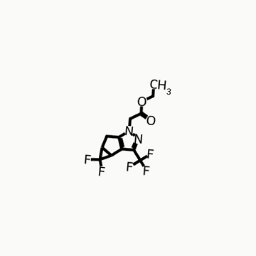 CCOC(=O)Cn1nc(C(F)(F)F)c2c1CC1C2C1(F)F